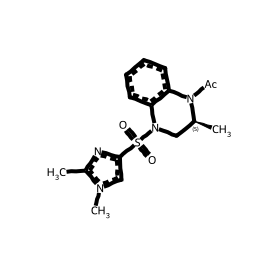 CC(=O)N1c2ccccc2N(S(=O)(=O)c2cn(C)c(C)n2)C[C@@H]1C